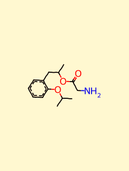 CC(C)Oc1ccccc1CC(C)OC(=O)CN